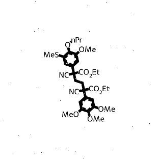 CCCOc1c(OC)cc(C(C#N)(CCC(C#N)(C(=O)OCC)c2cc(OC)c(OC)c(OC)c2)C(=O)OCC)cc1SC